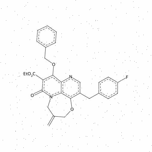 C=C1COc2c(Cc3ccc(F)cc3)cnc3c(OCc4ccccc4)c(C(=O)OCC)c(=O)n(c23)C1